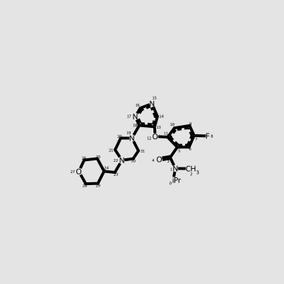 CC(C)N(C)C(=O)c1cc(F)ccc1Oc1cncnc1N1CCN(CC2CCOCC2)CC1